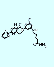 CC1c2cnc(-c3ncccn3)nc2CCN1c1cc(NCCCCC(N)=O)cc(F)n1